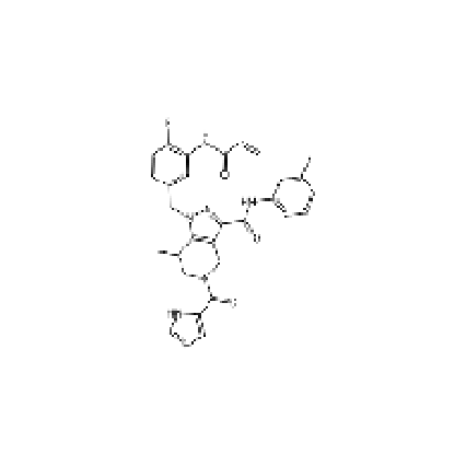 C=CC(=O)Nc1cc(Cn2nc(C(=O)Nc3cccc(C)c3)c3c2C(C)CN(C(=O)c2ccc[nH]2)C3)ccc1F